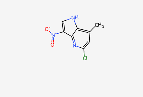 Cc1cc(Cl)nc2c([N+](=O)[O-])c[nH]c12